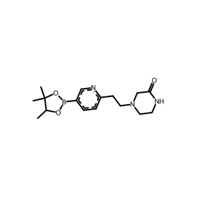 CC1OB(c2ccc(CCN3CCNC(=O)C3)nc2)OC1(C)C